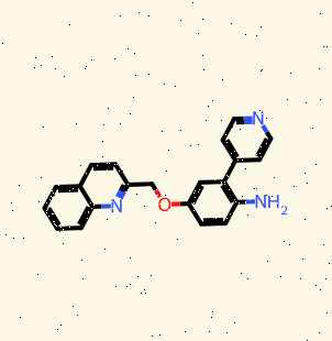 Nc1ccc(OCc2ccc3ccccc3n2)cc1-c1ccncc1